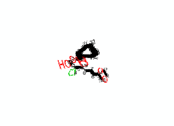 OB(O)[C@@H](Cl)[C@@H](CCCC1COCCO1)OCc1ccccc1